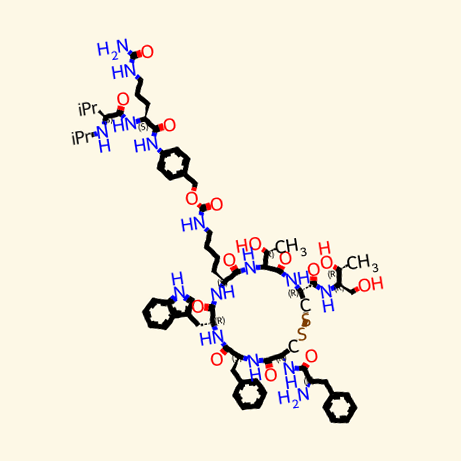 CC(C)N[C@H](C(=O)N[C@@H](CCCNC(N)=O)C(=O)Nc1ccc(COC(=O)NCCCC[C@@H]2NC(=O)[C@@H](Cc3c[nH]c4ccccc34)NC(=O)[C@H](Cc3ccccc3)NC(=O)[C@@H](NC(=O)[C@H](N)Cc3ccccc3)CSSC[C@@H](C(=O)N[C@H](CO)[C@@H](C)O)NC(=O)C([C@@H](C)O)NC2=O)cc1)C(C)C